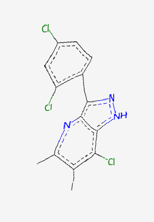 Cc1nc2c(-c3ccc(Cl)cc3Cl)n[nH]c2c(Cl)c1C